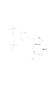 CO[C@H]1C(OC(C)(C)C)[C@@H](CC(C)(C)C)O[C@H]1n1cnc2c(=O)[nH]c(N)nc21